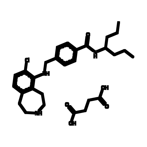 CCCC(CCC)NC(=O)c1ccc(CNc2c(Cl)ccc3c2CCNCC3)cc1.O=C(O)CCC(=O)O